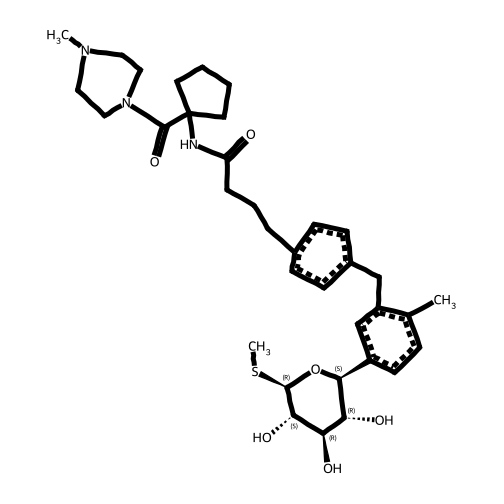 CS[C@H]1O[C@@H](c2ccc(C)c(Cc3ccc(CCCC(=O)NC4(C(=O)N5CCN(C)CC5)CCCC4)cc3)c2)[C@H](O)[C@@H](O)[C@@H]1O